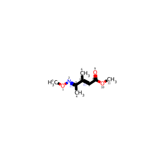 CO/N=C(C)/C(C)=C/C(=O)OC